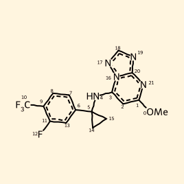 COc1cc(NC2(c3ccc(C(F)(F)F)c(F)c3)CC2)n2ncnc2n1